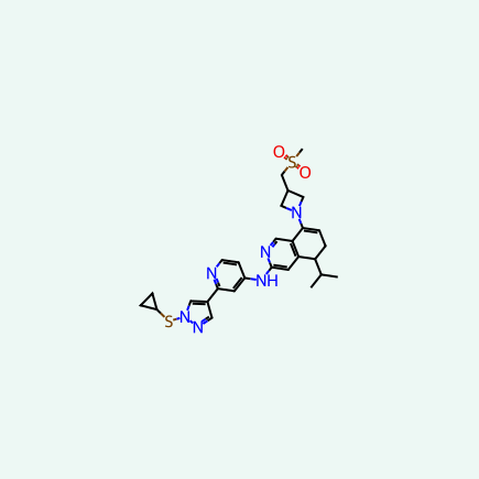 CC(C)C1CC=C(N2CC(CS(C)(=O)=O)C2)c2cnc(Nc3ccnc(-c4cnn(SC5CC5)c4)c3)cc21